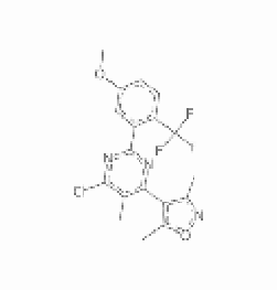 COc1ccc(C(F)(F)F)c(-c2nc(Cl)c(C)c(-c3c(C)noc3C)n2)c1